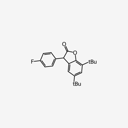 CC(C)(C)c1cc2c(c(C(C)(C)C)c1)OC(=O)C2c1ccc(F)cc1